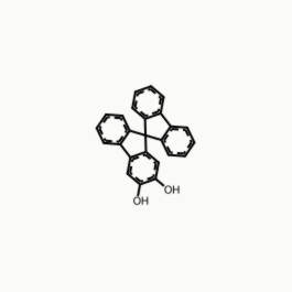 Oc1cc2c(cc1O)C1(c3ccccc3-c3ccccc31)c1ccccc1-2